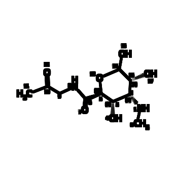 CN[C@@H]1[C@H](O)[C@@H](C(=O)NCC(C)=O)OC(O)[C@@H]1O